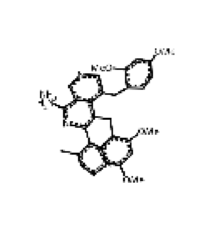 COc1ccc(Cc2cncc3c(N)nc(-c4cnccc4C)c(Cc4ccc(OC)cc4OC)c23)c(OC)c1.N